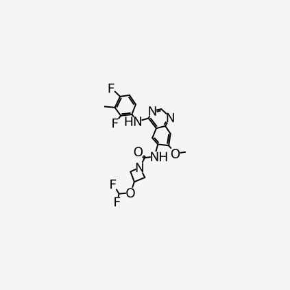 COc1cc2ncnc(Nc3ccc(F)c(C)c3F)c2cc1NC(=O)N1CC(OC(F)F)C1